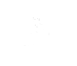 COc1ccc(-n2c(S)n[nH]c2=O)c(OC)c1